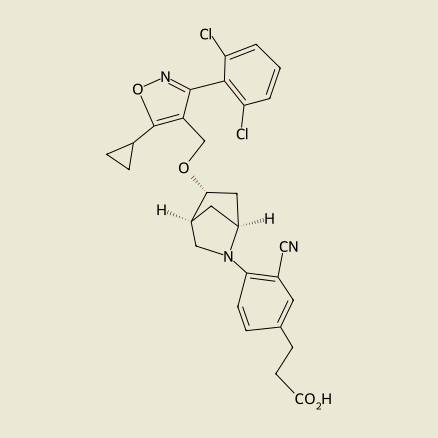 N#Cc1cc(CCC(=O)O)ccc1N1C[C@@H]2C[C@H]1C[C@H]2OCc1c(-c2c(Cl)cccc2Cl)noc1C1CC1